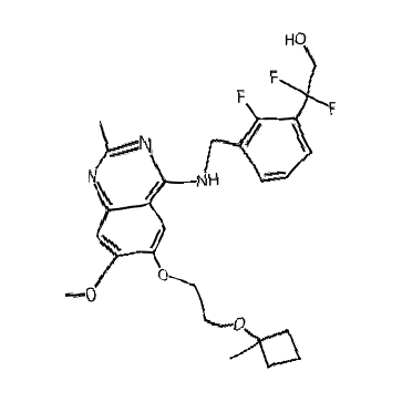 COc1cc2nc(C)nc(NCc3cccc(C(F)(F)CO)c3F)c2cc1OCCOC1(C)CCC1